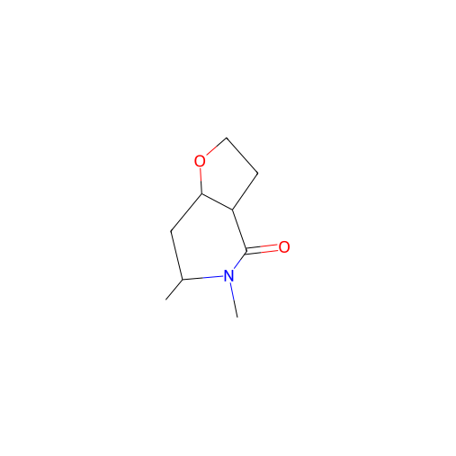 CC1CC2OCCC2C(=O)N1C